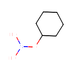 ON(O)OC1CCCCC1